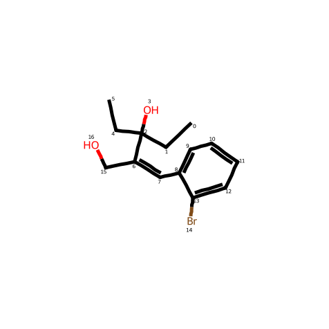 CCC(O)(CC)C(=Cc1ccccc1Br)CO